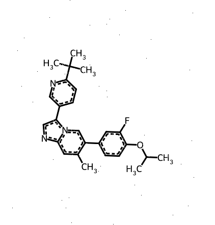 Cc1cc2ncc(-c3ccc(C(C)(C)C)nc3)n2cc1-c1ccc(OC(C)C)c(F)c1